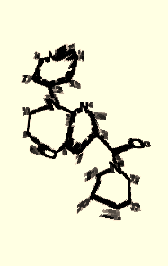 O=C(c1cnc2c(c1)OCCN2c1ccncc1)N1CCCCC1